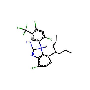 CCCC(CCC)c1ccc(Cl)c2c1[N+](C)(c1cc(C(F)(F)F)c(Cl)cc1Cl)C(N)=N2